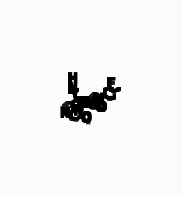 COc1ccc2nccc(C(NCC3CN(c4ccc(C)c(F)c4)C(=O)O3)C3CNC3)c2n1